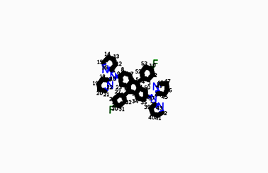 Fc1ccc(-c2c3ccc(N(c4ccccn4)c4ccccn4)cc3c(-c3ccc(F)cc3)c3ccc(N(c4ccccn4)c4ccccn4)cc23)cc1